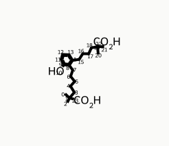 CC(C)(CCCCCc1c(O)cccc1CCCCC(C)(C)C(=O)O)C(=O)O